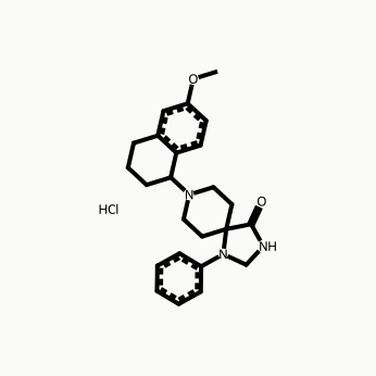 COc1ccc2c(c1)CCCC2N1CCC2(CC1)C(=O)NCN2c1ccccc1.Cl